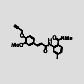 C#CCOc1ccc(/C=C/C(=O)Nc2cc(C)ccc2C(=O)NC)cc1OC